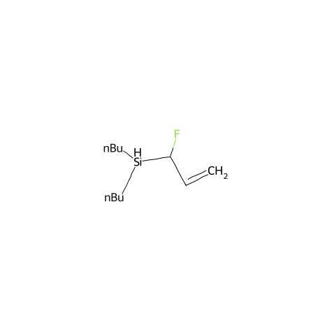 C=CC(F)[SiH](CCCC)CCCC